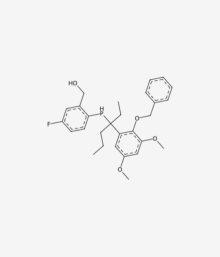 CCCC(CC)(Pc1ccc(F)cc1CO)c1cc(OC)cc(OC)c1OCc1ccccc1